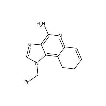 CC(C)Cn1cnc2c(N)nc3c(c21)CCC=C3